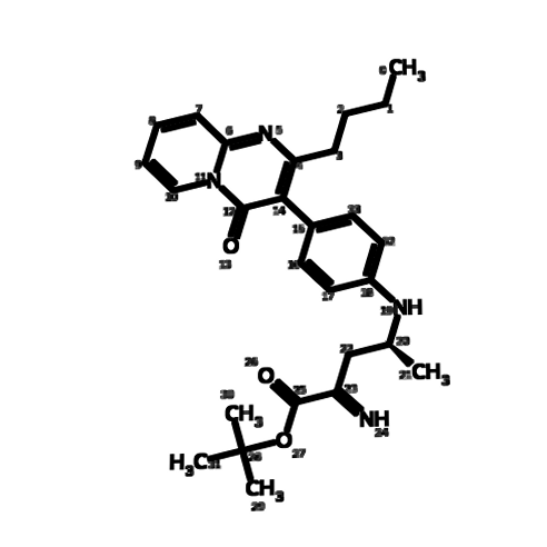 CCCCc1nc2ccccn2c(=O)c1-c1ccc(N[C@@H](C)CC(=N)C(=O)OC(C)(C)C)cc1